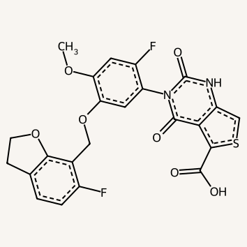 COc1cc(F)c(-n2c(=O)[nH]c3csc(C(=O)O)c3c2=O)cc1OCc1c(F)ccc2c1OCC2